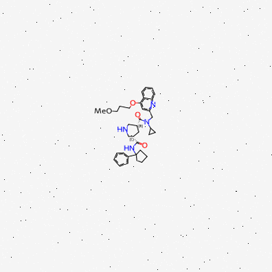 COCCCOc1cc(CN(C(=O)[C@H]2CNC[C@@H](C(=O)NC3(c4ccccc4)CCCC3)C2)C2CC2)nc2ccccc12